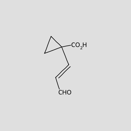 O=CC=CC1(C(=O)O)CC1